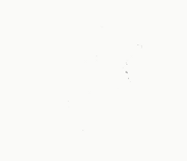 Bc1cc2c(Cl)cccc2nc1Cl